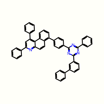 c1ccc(-c2cccc(-c3nc(-c4ccccc4)nc(-c4ccc(-c5cccc6c5ccc5nc(-c7ccccc7)cc(-c7ccccc7)c56)cc4)n3)c2)cc1